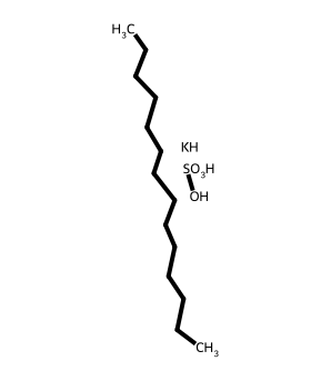 CCCCCCCCCCCCCC.O=S(=O)(O)O.[KH]